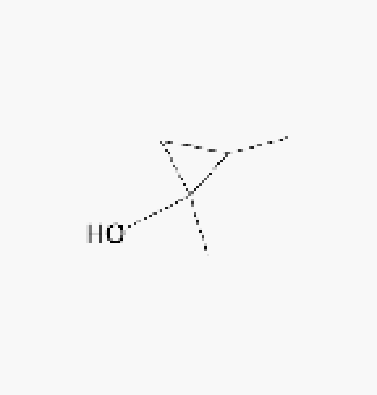 CC1CC1(C)O